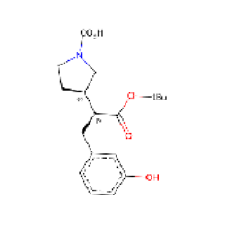 CC(C)(C)OC(=O)[C@@H](Cc1cccc(O)c1)[C@H]1CCN(C(=O)O)C1